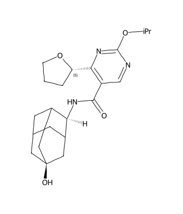 CC(C)Oc1ncc(C(=O)N[C@H]2C3CC4CC2C[C@@](O)(C4)C3)c([C@@H]2CCCO2)n1